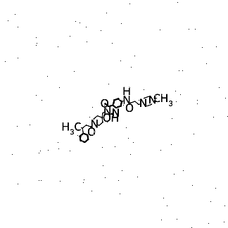 C[C@@H](CC(=O)N1CCC(O)(Cn2cnc3cc(NC(=O)CCN4CCN(C)CC4)ccc3c2=O)CC1)c1ccccc1